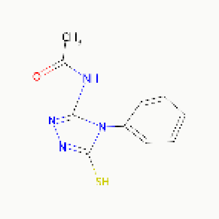 CC(=O)Nc1nnc(S)n1-c1ccccc1